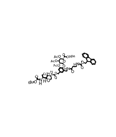 COC(=O)[C@H]1O[C@@H](Oc2ccc(COC(=O)N[C@H]3CO[C@H]4[C@@H]3OC[C@@H]4NC(=O)OC(C)(C)C)cc2CNC(=O)CCNC(=O)OCC2c3ccccc3-c3ccccc32)[C@H](OC(C)=O)[C@@H](OC(C)=O)[C@@H]1OC(C)=O